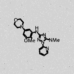 CNc1nc(Nc2cc(N3CCOCC3)ccc2OC)nn1-c1ccccn1